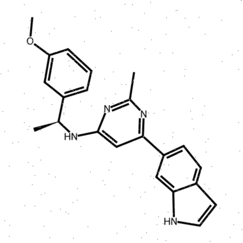 COc1cccc([C@H](C)Nc2cc(-c3ccc4cc[nH]c4c3)nc(C)n2)c1